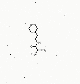 CC(C)C(=O)NCCC1CCOCC1